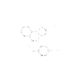 COc1ccc([C@H](C)Nc2nc3cc(C)nn3c3ccccc23)cc1